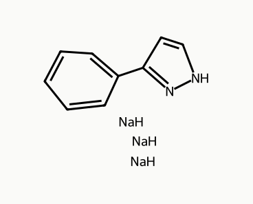 [NaH].[NaH].[NaH].c1ccc(-c2cc[nH]n2)cc1